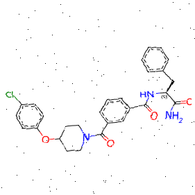 NC(=O)[C@H](Cc1ccccc1)NC(=O)c1cccc(C(=O)N2CCC(Oc3ccc(Cl)cc3)CC2)c1